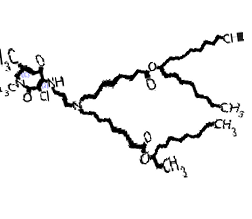 CCCCCCCCC(CC)OC(=O)CCCCCCCN(CCCCCCCC(=O)OC(CCCCCCCC)CCCCCCCC)CCCN/C1=C(\Cl)C(=O)N(C)C/C(C)=C/C1=O